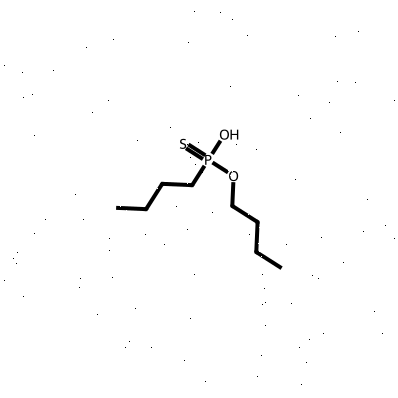 CCCCOP(O)(=S)CCCC